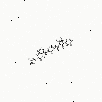 Cc1c(C(=O)Nc2ccc(Oc3ccnc4cc(OC[C@@H](C)O)ccc34)cc2)c(=O)n(-c2cc#ccc2)n1C